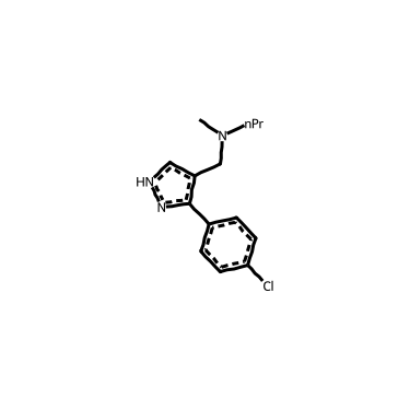 CCCN(C)Cc1c[nH]nc1-c1ccc(Cl)cc1